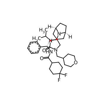 CC(C)N1C(=O)N(CC2CCOCC2)CC12C[C@H]1CC[C@@H](C2)N1CC[C@H](NC(=O)C1CCC(F)(F)CC1)c1ccccc1